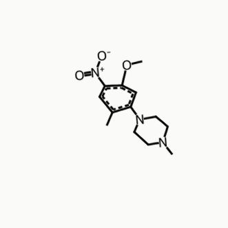 COc1cc(N2CCN(C)CC2)c(C)cc1[N+](=O)[O-]